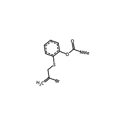 C=C(Br)CSc1ccccc1OC(=O)NC